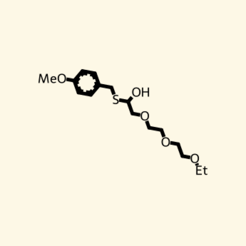 CCOCCOCCOCC(O)SCc1ccc(OC)cc1